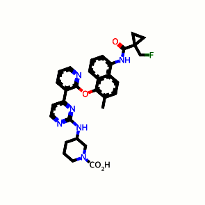 Cc1ccc2c(NC(=O)C3(CF)CC3)cccc2c1Oc1ncccc1-c1ccnc(NC2CCCN(C(=O)O)C2)n1